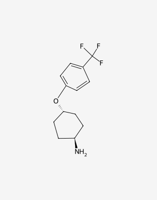 N[C@H]1CC[C@H](Oc2ccc(C(F)(F)F)cc2)CC1